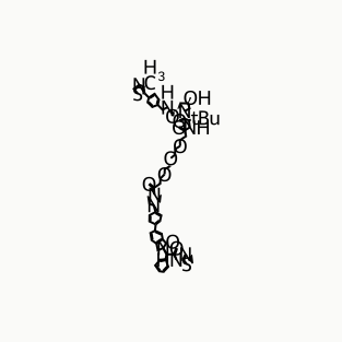 Cc1ncsc1-c1ccc(CNC(=O)[C@@H]2C[C@@H](O)CN2C(=O)C(NC(=O)CCOCCOCCOCCC(=O)N2CCN(c3ccc(-c4ccc5c(c4)C(=O)N(C(C(=O)Nc4nccs4)c4ccccc4)C5)cc3)CC2)C(C)(C)C)cc1